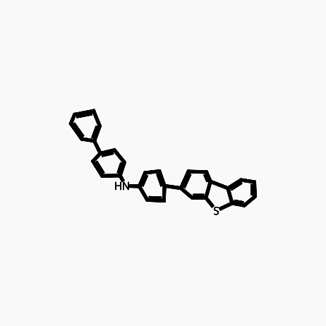 c1ccc(-c2ccc(Nc3ccc(-c4ccc5c(c4)sc4ccccc45)cc3)cc2)cc1